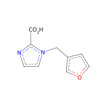 O=C(O)c1nccn1Cc1ccoc1